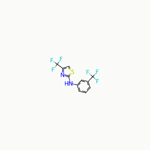 FC(F)(F)c1cccc(Nc2nc(C(F)(F)F)cs2)c1